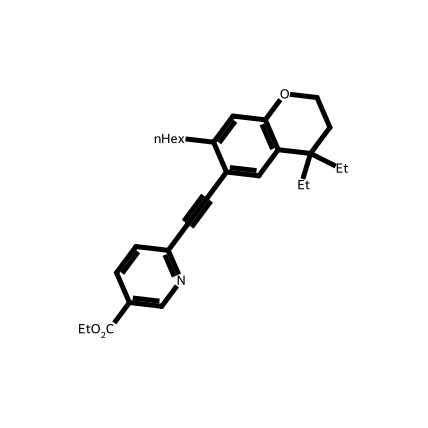 CCCCCCc1cc2c(cc1C#Cc1ccc(C(=O)OCC)cn1)C(CC)(CC)CCO2